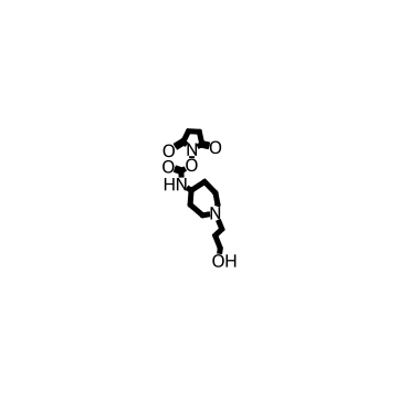 O=C(NC1CCCN(CCCO)CC1)ON1C(=O)CCC1=O